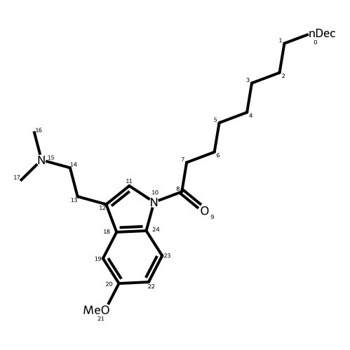 CCCCCCCCCCCCCCCCCC(=O)n1cc(CCN(C)C)c2cc(OC)ccc21